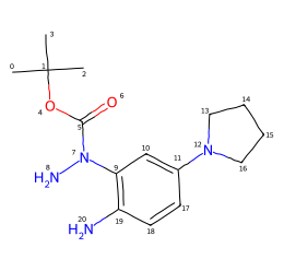 CC(C)(C)OC(=O)N(N)c1cc(N2CCCC2)ccc1N